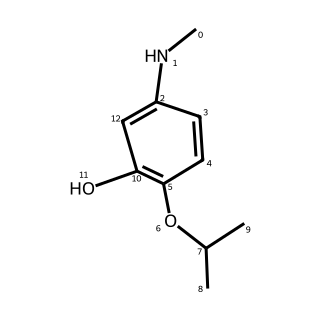 CNc1ccc(OC(C)C)c(O)c1